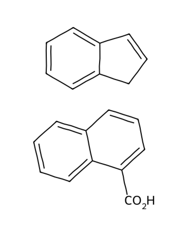 C1=Cc2ccccc2C1.O=C(O)c1cccc2ccccc12